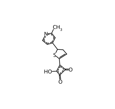 Cc1cc(C2CC=C(c3c(O)c(=O)c3=O)S2)ccn1